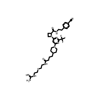 N#Cc1ccc(CCNC(=O)C2CCN2c2cc(N3CCC(CCCC(=O)NCCOCCNC(=N)N)CC3)nc(C(F)(F)F)n2)cc1